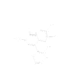 O=C(O)c1cn(-c2ccncc2F)c2cc(F)c(F)cc2c1=O